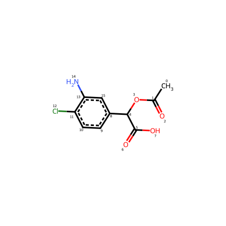 CC(=O)OC(C(=O)O)c1ccc(Cl)c(N)c1